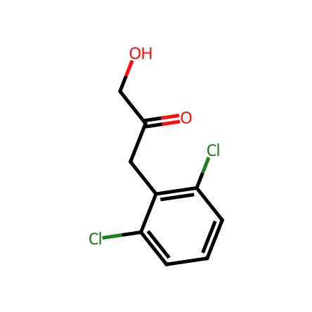 O=C(CO)Cc1c(Cl)cccc1Cl